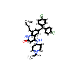 COCCCc1cc(C(c2ccc(Cl)cc2)c2ccc(Cl)cc2)cc2c(NC3CCN(CC(F)(F)F)CC3)cc(=O)[nH]c12